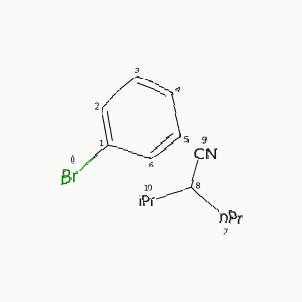 Brc1ccccc1.CCCC(C#N)C(C)C